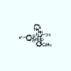 COc1ccccc1Oc1c(O)nc(-c2ncccn2)nc1NS(=O)(=O)c1ccc(C(C)C)cc1